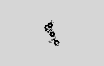 CCc1ccc2c(c1)CCC(C)N2S(=O)(=O)c1ccc(O[C@@H](CO)C2CCOCC2)cc1